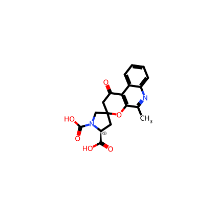 Cc1nc2ccccc2c2c1OC1(CC2=O)C[C@@H](C(=O)O)N(C(=O)O)C1